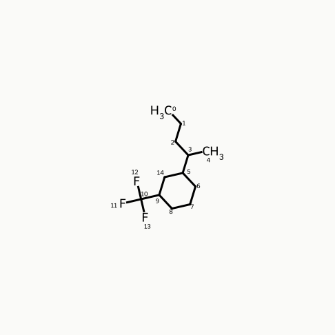 CCCC(C)C1CCCC(C(F)(F)F)C1